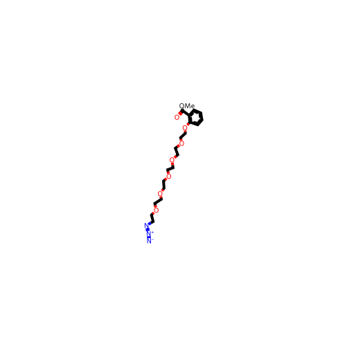 COC(=O)c1ccccc1OCCOCCOCCOCCOCCOCCN=[N+]=[N-]